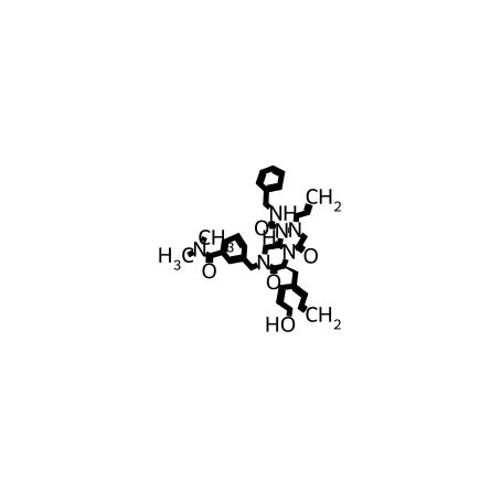 C=C/C=C(\C=C/CO)C[C@H]1C(=O)N(Cc2cccc(C(=O)N(C)C)c2)C[C@H]2N1C(=O)CN(CC=C)N2C(=O)NCc1ccccc1